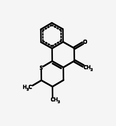 C=C1C(=O)c2ccccc2C2=C1CC(C)C(C)S2